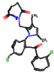 Cc1cc(C)n(-c2ccc(Cl)cc2C(=O)c2ccccc2Cl)c1CN1C(=O)CCC1=O